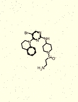 NCC[S+]([O-])N1CCC(Nc2ncc(Br)c(N3CCCc4ccccc43)n2)CC1